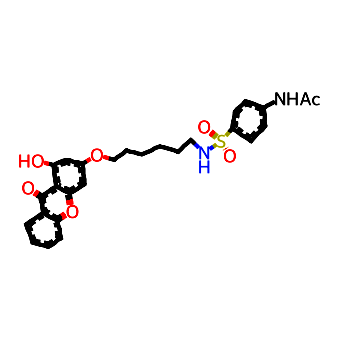 CC(=O)Nc1ccc(S(=O)(=O)NCCCCCCOc2cc(O)c3c(=O)c4ccccc4oc3c2)cc1